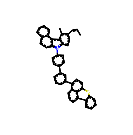 C/C=C\c1ccc2c(c1C)c1c3ccccc3ccc1n2-c1ccc(-c2cccc(-c3ccc4c5c(cccc35)-c3ccccc3S4)c2)cc1